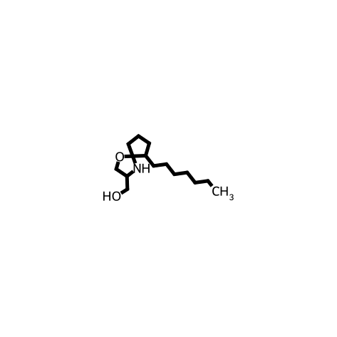 CCCCCCCC1CCCC12NC(CO)CO2